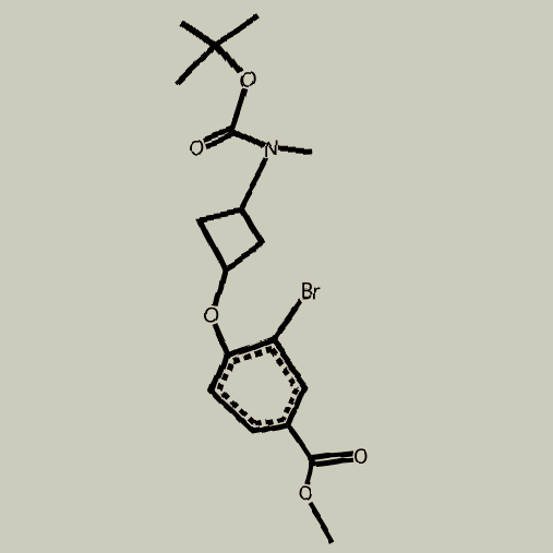 COC(=O)c1ccc(OC2CC(N(C)C(=O)OC(C)(C)C)C2)c(Br)c1